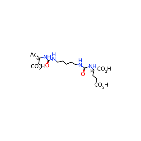 CC(=O)[C@H](CC(=O)O)NC(=O)NCCCCCNC(=O)N[C@@H](CCC(=O)O)C(=O)O